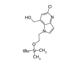 CC(C)(C)[Si](C)(C)OCCn1ccc2nc(Cl)cc(CO)c21